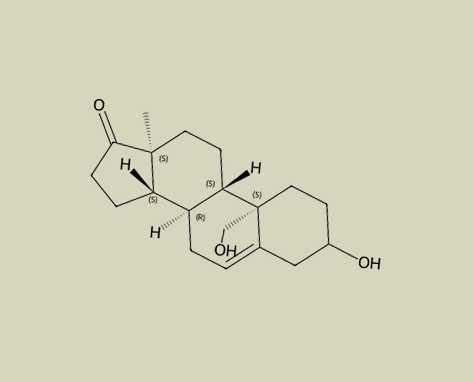 C[C@]12CC[C@H]3[C@@H](CC=C4CC(O)CC[C@@]43CO)[C@@H]1CCC2=O